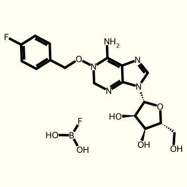 NC1=c2ncn([C@@H]3O[C@H](CO)[C@@H](O)[C@H]3O)c2=NCN1OCc1ccc(F)cc1.OB(O)F